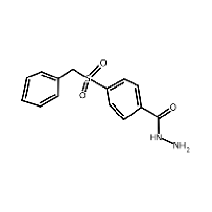 NNC(=O)c1ccc(S(=O)(=O)Cc2ccccc2)cc1